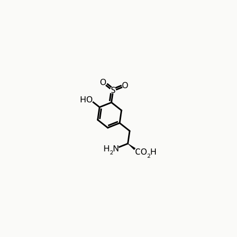 N[C@@H](CC1=CC=C(O)C(=S(=O)=O)C1)C(=O)O